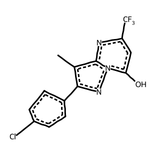 Cc1c(-c2ccc(Cl)cc2)nn2c(O)cc(C(F)(F)F)nc12